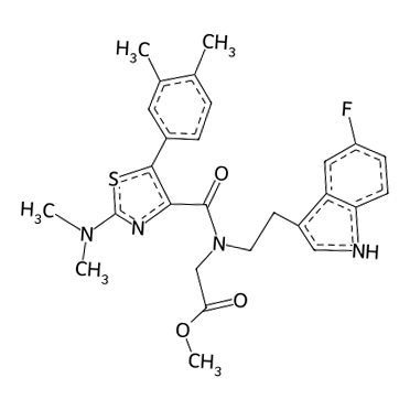 COC(=O)CN(CCc1c[nH]c2ccc(F)cc12)C(=O)c1nc(N(C)C)sc1-c1ccc(C)c(C)c1